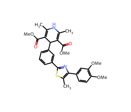 COC(=O)C1=C(C)NC(C)=C(C(=O)OC)C1c1cccc(-c2nc(-c3ccc(OC)c(OC)c3)c(C)s2)c1